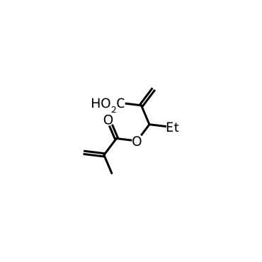 C=C(C)C(=O)OC(CC)C(=C)C(=O)O